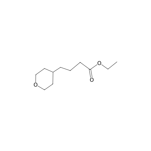 CCOC(=O)CCCC1CCOCC1